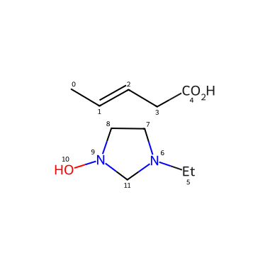 CC=CCC(=O)O.CCN1CCN(O)C1